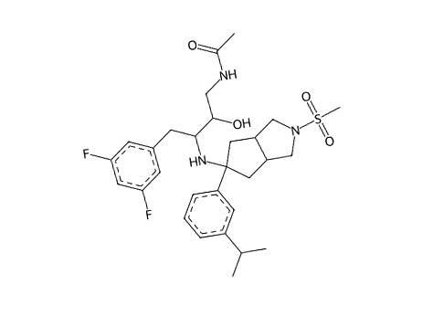 CC(=O)NCC(O)C(Cc1cc(F)cc(F)c1)NC1(c2cccc(C(C)C)c2)CC2CN(S(C)(=O)=O)CC2C1